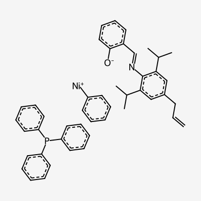 C=CCc1cc(C(C)C)c(N=Cc2ccccc2[O-])c(C(C)C)c1.[Ni+][c]1ccccc1.c1ccc(P(c2ccccc2)c2ccccc2)cc1